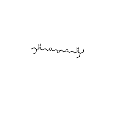 CCC(CC)NCCCOCCOCCOCCCNC(CC)CC